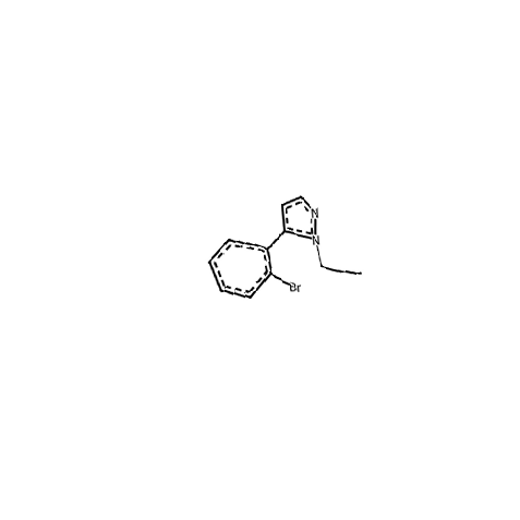 CCn1nccc1-c1ccccc1Br